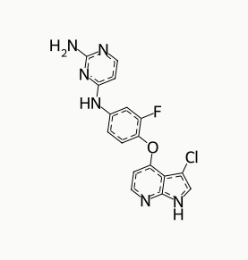 Nc1nccc(Nc2ccc(Oc3ccnc4[nH]cc(Cl)c34)c(F)c2)n1